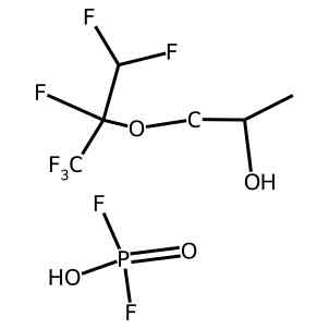 CC(O)COC(F)(C(F)F)C(F)(F)F.O=P(O)(F)F